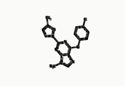 Cc1ccn(-c2nc(Oc3ccc(Cl)cc3)c3ncn(C)c3n2)n1